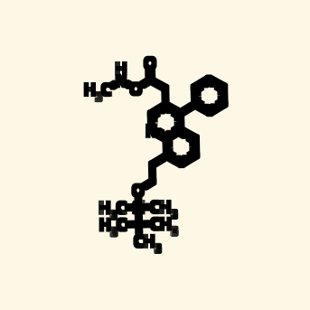 CNOC(=O)Cc1cnc2c(CCO[Si](C)(C)C(C)(C)C)cccc2c1-c1ccccc1